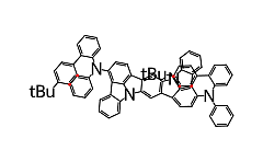 CC(C)(C)c1ccc(-c2ccccc2N(c2ccccc2)c2ccc3c4cc5c(cc4n4c6ccccc6c2c34)c2ccc(N(c3ccccc3)c3ccccc3-c3ccc(C(C)(C)C)cc3)c3c4ccccc4n5c23)cc1